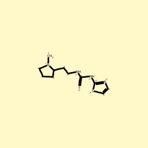 CN1CCCC1CCNC(=S)Nc1nccs1